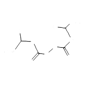 CCCCCC(CC)OC(=O)OOC(=O)OC(CC)CCCCC